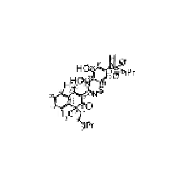 CC(C)CCC1(C)C(=O)C(C2=NSc3cc(NS(=O)(=O)C(C)C)cc(O)c3N2O)=C(O)c2ccccc21